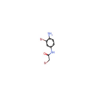 Nc1ccc(NC(=O)CBr)cc1Br